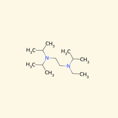 CCN(CCN(C(C)C)C(C)C)C(C)C